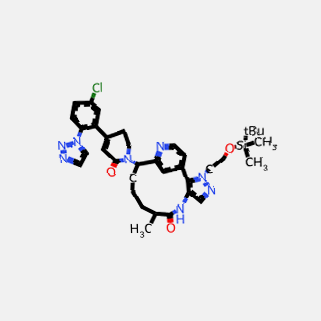 CC1CCCC(N2CCC(c3cc(Cl)ccc3-n3ccnn3)=CC2=O)c2cc(ccn2)-c2c(cnn2CCO[Si](C)(C)C(C)(C)C)NC1=O